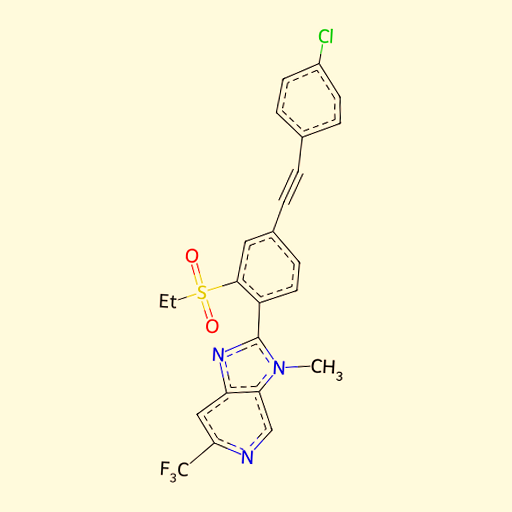 CCS(=O)(=O)c1cc(C#Cc2ccc(Cl)cc2)ccc1-c1nc2cc(C(F)(F)F)ncc2n1C